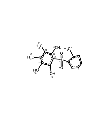 Cc1ccccc1S(=O)(=O)c1c(C)c(C)c(C)c(O)c1O